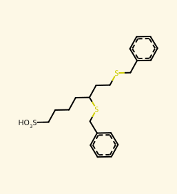 O=S(=O)(O)CCCCC(CCSCc1ccccc1)SCc1ccccc1